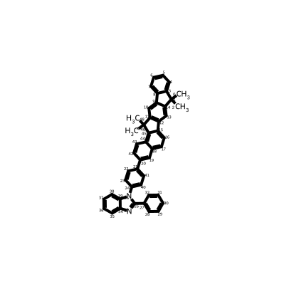 CC1(C)c2ccccc2-c2cc3c(cc21)-c1ccc2cc(-c4ccc(-n5c(-c6ccccc6)nc6ccccc65)cc4)ccc2c1C3(C)C